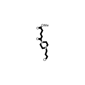 COC(=O)CCCC(=O)N1CCN(CCCCl)CC1